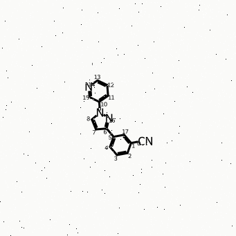 N#Cc1cccc(-c2ccn(-c3cccnc3)n2)c1